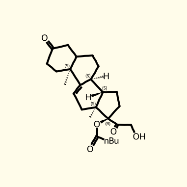 CCCCC(=O)O[C@]1(C(=O)CO)CC[C@H]2[C@@H]3CCC4CC(=O)CC[C@]4(C)C3=CC[C@@]21C